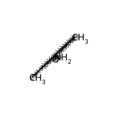 CCCCCCCCCCCCCCCCCCCCC(CCCCCCCCCCCCCCCCCC)C(N)=O